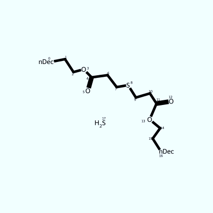 CCCCCCCCCCCCOC(=O)CCSCCC(=O)OCCCCCCCCCCCC.S